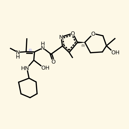 CN/C(C)=C(/NC(=O)c1noc([C@@H]2CCC(C)(O)CO2)c1C)C(O)NC1CCCCC1